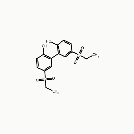 CCS(=O)(=O)c1ccc(O)c(-c2cc(S(=O)(=O)CC)ccc2O)c1